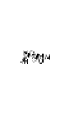 CC(C)c1c(C#N)cccc1C(=O)Nc1ccc2cnn(-c3cnn(C(C)C)c3)c2c1